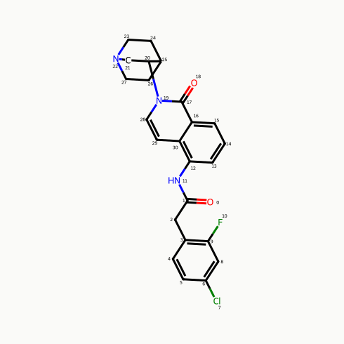 O=C(Cc1ccc(Cl)cc1F)Nc1cccc2c(=O)n(C3CN4CCC3CC4)ccc12